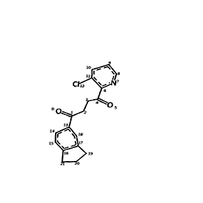 O=C(CCC(=O)c1ncccc1Cl)c1ccc2c(c1)CCC2